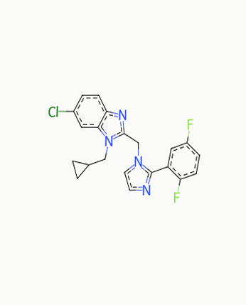 Fc1ccc(F)c(-c2nccn2Cc2nc3ccc(Cl)cc3n2CC2CC2)c1